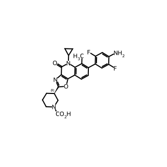 Cc1c(-c2cc(F)c(N)cc2F)ccc2c3oc([C@@H]4CCCN(C(=O)O)C4)nc3c(=O)n(C3CC3)c12